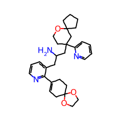 NC(Cc1cccnc1C1=CCC2(CC1)OCCO2)CC1(c2ccccn2)CCOC2(CCCC2)C1